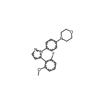 COc1cccc(F)c1-c1ccnn1-c1ccc(N2CCOCC2)cc1